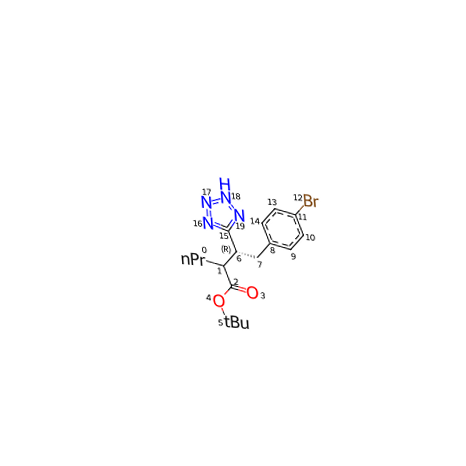 CCCC(C(=O)OC(C)(C)C)[C@@H](Cc1ccc(Br)cc1)c1nn[nH]n1